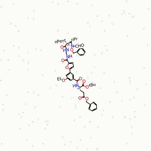 CCCCC[C@@H](C(=O)NCNC(=O)c1ccc(-c2cc(OCC)cc(C(=O)N[C@@H](CCC(=O)OCc3ccccc3)C(=O)OC(C)(C)C)c2)o1)[C@@H](CCC)N(C=O)OCc1ccccc1